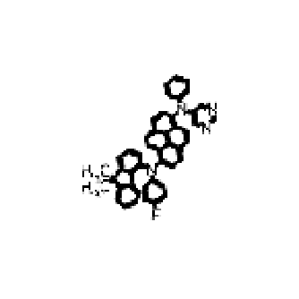 CC1(C)c2ccccc2-c2c(N(c3ccc(F)cc3)c3ccc4ccc5c(N(c6ccccc6)c6cncnc6)ccc6ccc3c4c65)cccc21